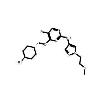 COCCn1cc(Nc2ncc(F)c(OC[C@H]3CC[C@H](O)CC3)n2)cn1